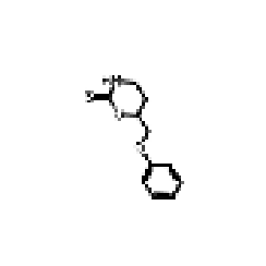 S=C1NCCC(COc2ccccc2)O1